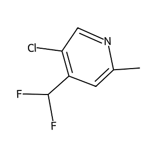 Cc1cc(C(F)F)c(Cl)cn1